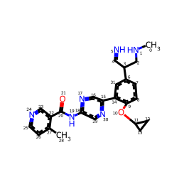 CNCC(C=N)c1ccc(OC2CC2)c(-c2cnc(NC(=O)c3cnccc3C)cn2)c1